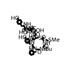 CC[C@H](C)[C@@H]1NC(=O)[C@H](Cc2ccccc2)NC(=O)[C@H](Cc2ccc(O)cc2)NC(=O)[C@@H](NC(=O)[C@@H](NC(=O)[C@H](CO)NC(=O)[C@@H](N)Cc2ccc(O)cc2)[C@@H](C)O)CSC(=O)[C@H](CCSC)NC1=O